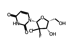 O=c1ccn([C@@H]2O[C@H](CO)[C@H](O)C2(F)Cl)c(=O)[nH]1